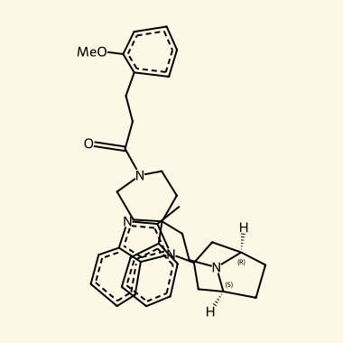 COc1ccccc1CCC(=O)N1CCC(CCN2[C@@H]3CC[C@H]2CC(n2c(C)nc4ccccc42)C3)(c2ccccc2)CC1